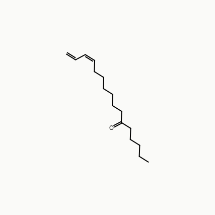 C=C/C=C\CCCCCCC(=O)CCCCC